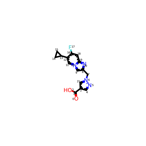 O=C(O)c1cnn(Cc2cn3cc(C4CC4)c(F)cc3n2)c1